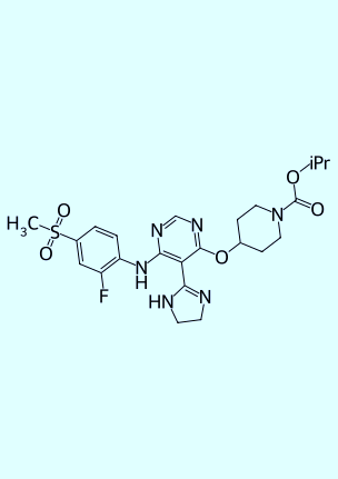 CC(C)OC(=O)N1CCC(Oc2ncnc(Nc3ccc(S(C)(=O)=O)cc3F)c2C2=NCCN2)CC1